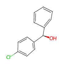 O[C@H](c1ccccc1)c1ccc(Cl)cc1